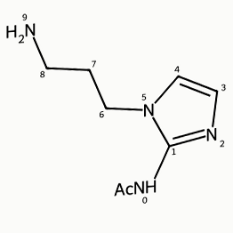 CC(=O)Nc1nccn1CCCN